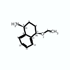 CCO[C@@H]1CC[C@H](N)c2ccccc21